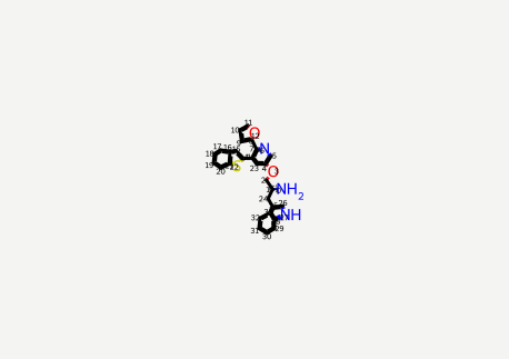 N[C@H](COc1cnc(-c2ccco2)c(-c2cc3ccccc3s2)c1)Cc1c[nH]c2ccccc12